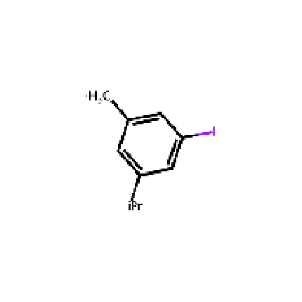 [CH2]c1cc(I)cc(C(C)C)c1